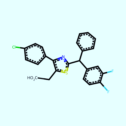 O=C(O)Cc1sc(C(c2ccccc2)c2ccc(F)c(F)c2)nc1-c1ccc(Cl)cc1